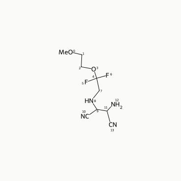 COCCOC(F)(F)CNC(C#N)C(N)C#N